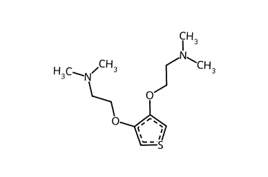 CN(C)CCOc1cscc1OCCN(C)C